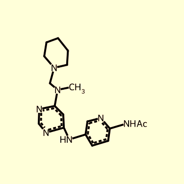 CC(=O)Nc1ccc(Nc2cc(N(C)CN3CCCCC3)ncn2)cn1